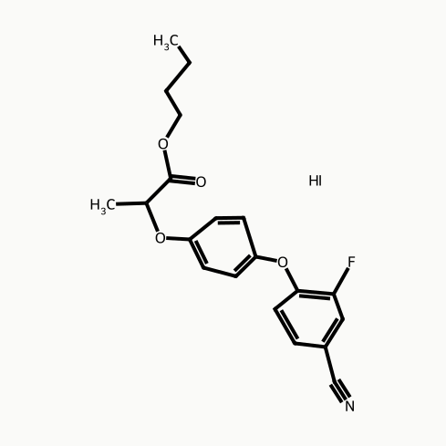 CCCCOC(=O)C(C)Oc1ccc(Oc2ccc(C#N)cc2F)cc1.I